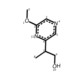 COc1cncc(C(C)CO)n1